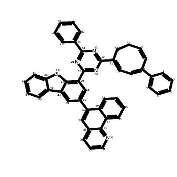 C1=C/C(c2ccccc2)=C\C=C(\c2nc(-c3ccccc3)nc(-c3cc(-c4cc5cccnc5c5ccccc45)cc4c3sc3ccccc34)n2)CC\1